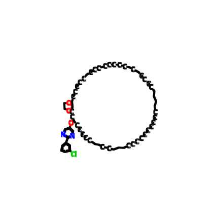 Clc1cccc(-c2ncc(OC3CCCCCCCCCCCCCCCCCCCCCCCCCCCCCCCCCCCCCCCCCCCCCCCCC4(CC3)OCCO4)cn2)c1